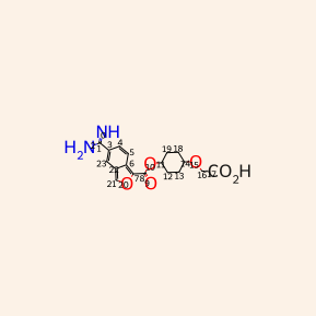 N=C(N)c1ccc2c(C(=O)OC3CCC(OCC(=O)O)CC3)occ2c1